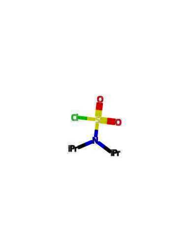 CC(C)N(C(C)C)S(=O)(=O)Cl